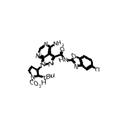 CC(C)(C)C1C(n2nc(C(=O)Nc3nc4cc(Cl)ccc4o3)c3c(N)ncnc32)CCN1C(=O)O